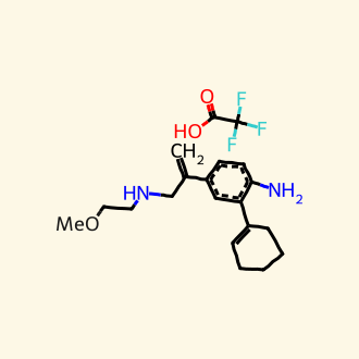 C=C(CNCCOC)c1ccc(N)c(C2=CCCCC2)c1.O=C(O)C(F)(F)F